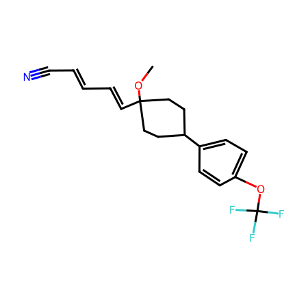 COC1(C=CC=CC#N)CCC(c2ccc(OC(F)(F)F)cc2)CC1